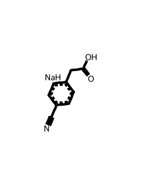 N#Cc1ccc(CC(=O)O)cc1.[NaH]